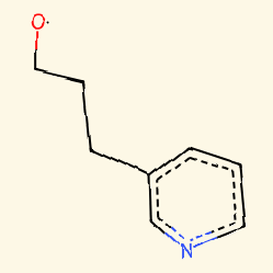 [O]CCCc1cccnc1